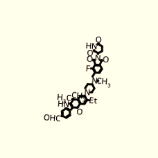 CCc1cc2c(cc1N1CCC(N(C)Cc3ccc4c(c3F)C(=O)N(C3CCC(=O)NC3=O)C4=O)CC1)C(C)(C)c1[nH]c3cc(C=O)ccc3c1C2=O